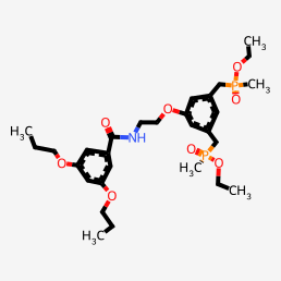 CCCOc1cc(OCCC)cc(C(=O)NCCOc2cc(CP(C)(=O)OCC)cc(CP(C)(=O)OCC)c2)c1